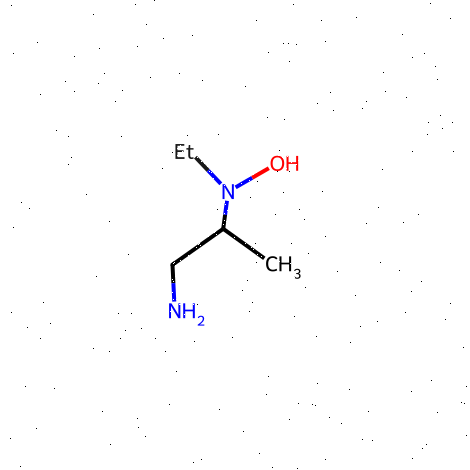 CCN(O)C(C)CN